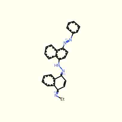 CC/N=C1C=C/C(=N/Nc2ccc(/N=N/c3ccccc3)c3ccccc23)c2ccccc2\1